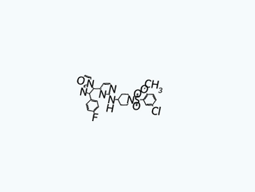 COc1ccc(Cl)cc1S(=O)(=O)N1CCC(Nc2nccc(C3C(c4ccc(F)cc4)N=C4OC=CN43)n2)CC1